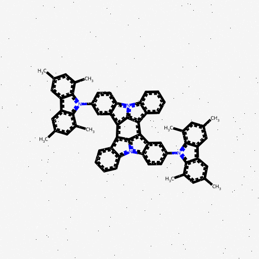 Cc1cc(C)c2c(c1)c1cc(C)cc(C)c1n2-c1ccc2c(c1)c1c3c4ccccc4n4c5ccc(-n6c7c(C)cc(C)cc7c7cc(C)cc(C)c76)cc5c(c5c6ccccc6n2c51)c34